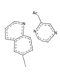 CC(=O)c1cnccn1.Cc1ccc2ncccc2c1